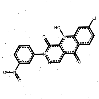 O=c1c2ccc(Cl)cc2n(O)c2c(=O)n(-c3cccc([N+](=O)[O-])c3)ncc12